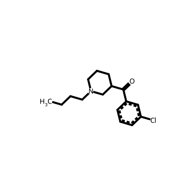 CCCCN1CCCC(C(=O)c2cccc(Cl)c2)C1